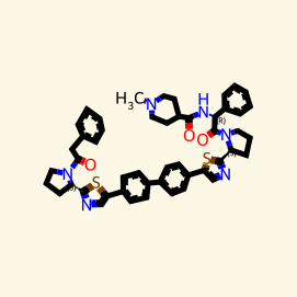 CN1CCC(C(=O)N[C@@H](C(=O)N2CCC[C@H]2c2ncc(-c3ccc(-c4ccc(-c5cnc([C@@H]6CCCN6C(=O)Cc6ccccc6)s5)cc4)cc3)s2)c2ccccc2)CC1